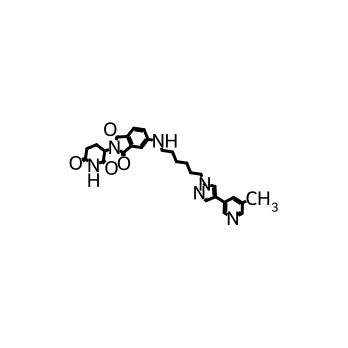 Cc1cncc(-c2cnn(CCCCCCNc3ccc4c(c3)C(=O)N(C3CCC(=O)NC3=O)C4=O)c2)c1